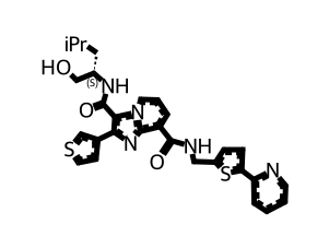 CC(C)C[C@@H](CO)NC(=O)c1c(-c2ccsc2)nc2c(C(=O)NCc3ccc(-c4ccccn4)s3)cccn12